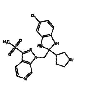 CS(=O)(=O)c1nn(CC2(C3CCNC3)Nc3ccc(Cl)cc3N2)c2cnccc12